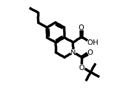 CCCc1ccc2c(c1)CCN(C(=O)OC(C)(C)C)C2C(=O)O